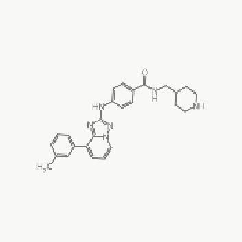 Cc1cccc(-c2cccn3nc(Nc4ccc(C(=O)NCC5CCNCC5)cc4)nc23)c1